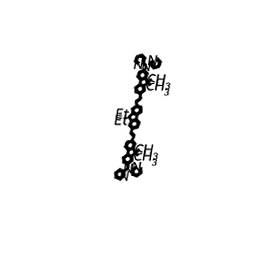 CCC1(CC)c2cc(/C=C/c3ccc4c(c3)C(C)(C)c3cc(N(c5ccccn5)c5ccccn5)ccc3-4)ccc2-c2ccc(/C=C/c3ccc4c(c3)C(C)(C)c3cc(N(c5ccccn5)c5ccccn5)ccc3-4)cc21